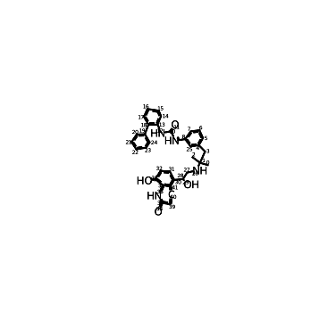 CC(C)(Cc1cccc(NC(=O)Nc2ccccc2-c2ccccc2)c1)NCC(O)c1ccc(O)c2[nH]c(=O)ccc12